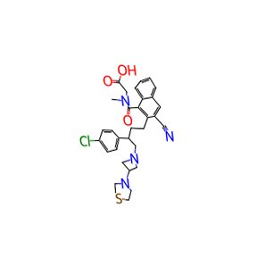 CN(CC(=O)O)C(=O)c1c(CCC(CN2CC(N3CCSCC3)C2)c2ccc(Cl)cc2)c(C#N)cc2ccccc12